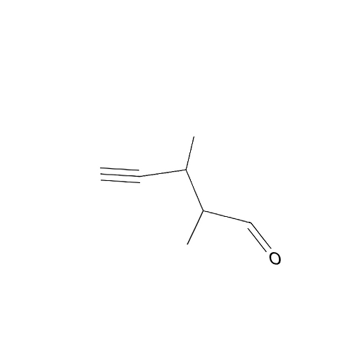 C#CC(C)C(C)C=O